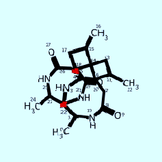 CC1CNC(=O)C2(CC(=O)N1)C(C)CC21C(C)CC12C(=O)NCC(C)NC2=O